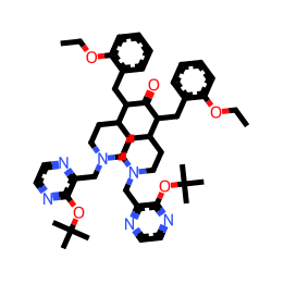 CCOc1ccccc1CC(C(=O)C(Cc1ccccc1OCC)C1CCN(Cc2nccnc2OC(C)(C)C)CC1)C1CCN(Cc2nccnc2OC(C)(C)C)CC1